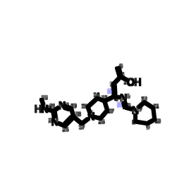 C=C(O)/C=C(\N=C\N1CCCCC1)C1CCN(Cc2cnc(NC)nc2)CC1